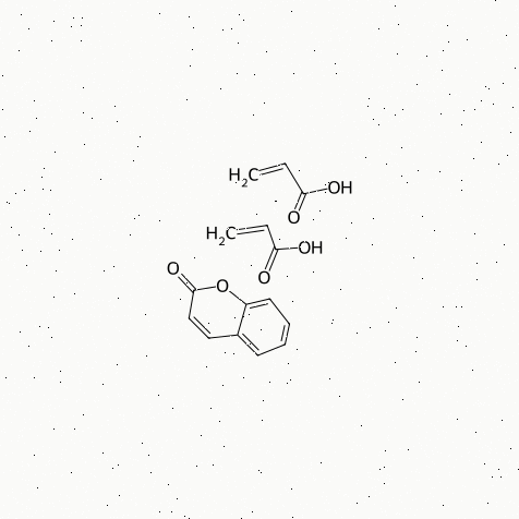 C=CC(=O)O.C=CC(=O)O.O=c1ccc2ccccc2o1